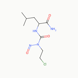 CC(C)CC(NC(=O)N(CCCl)N=O)C(N)=O